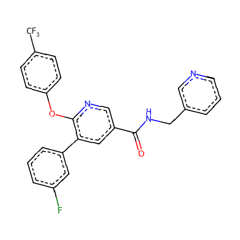 O=C(NCc1cccnc1)c1cnc(Oc2ccc(C(F)(F)F)cc2)c(-c2cccc(F)c2)c1